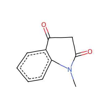 CN1C(=O)CC(=O)c2ccccc21